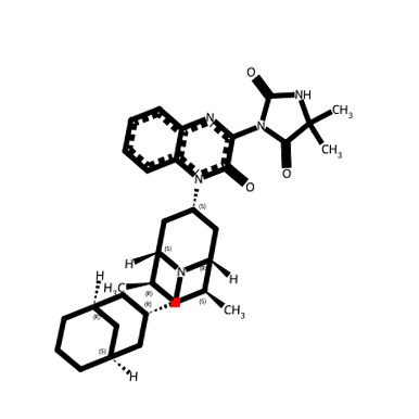 C[C@@H]1C[C@H](C)[C@H]2C[C@@H](n3c(=O)c(N4C(=O)NC(C)(C)C4=O)nc4ccccc43)C[C@@H]1N2C[C@H]1C[C@@H]2CCC[C@@H](C2)C1